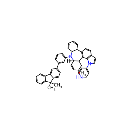 CC1C=C[C@H]2C(C1)c1c(ccc3ccn(C4=CCNC=C4)c13)C1C=CC=CC1N2c1cccc(-c2ccc3c(c2)-c2ccccc2C3(C)C)c1